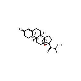 CC(O)C(=O)C12CCC3(CC1)[C@@H]1CCC4=CC(=O)CC[C@@H]4[C@H]1CC[C@]23C